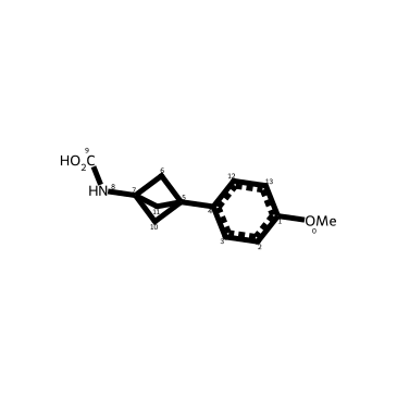 COc1ccc(C23CC(NC(=O)O)(C2)C3)cc1